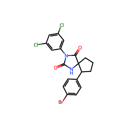 O=C1NC2(CCCC2c2ccc(Br)cc2)C(=O)N1c1cc(Cl)cc(Cl)c1